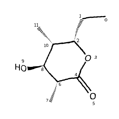 CC[C@@H]1OC(=O)[C@H](C)[C@@H](O)[C@@H]1C